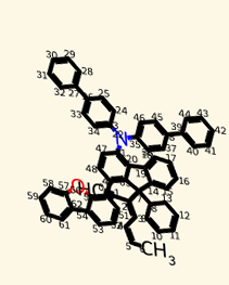 C#C/C(=C\C=C/C)C1(C2C=CC=CC2)c2ccccc2-c2c(N(c3ccc(-c4ccccc4)cc3)c3ccc(-c4ccccc4)cc3)ccc(-c3cccc4c3oc3ccccc34)c21